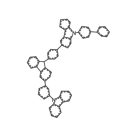 c1ccc(-c2ccc(-n3c4ccccc4c4cc(-c5ccc(C6c7ccccc7-c7cc(-c8cccc(-n9c%10ccccc%10c%10ccccc%109)c8)ccc76)cc5)ccc43)cc2)cc1